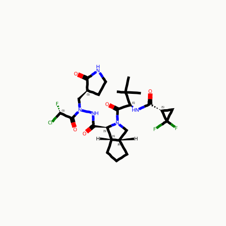 CC(C)(C)[C@H](NC(=O)[C@@H]1CC1(F)F)C(=O)N1C[C@@H]2CCC[C@@H]2[C@H]1C(=O)NN(C[C@@H]1CCNC1=O)C(=O)[C@@H](F)Cl